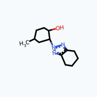 CC1CCC(O)C(n2nc3c(n2)CCCC3)C1